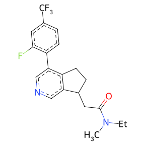 CCN(C)C(=O)CC1CCc2c(-c3ccc(C(F)(F)F)cc3F)cncc21